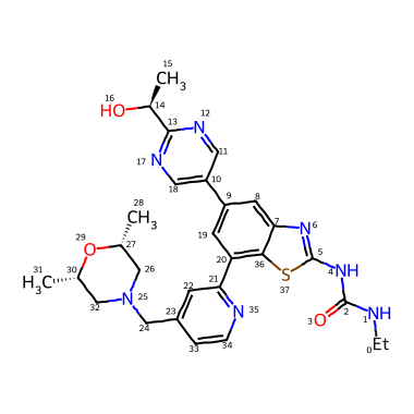 CCNC(=O)Nc1nc2cc(-c3cnc([C@H](C)O)nc3)cc(-c3cc(CN4C[C@@H](C)O[C@@H](C)C4)ccn3)c2s1